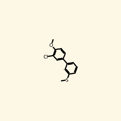 COc1ccc(-c2[c]c(SC)ccc2)cc1Cl